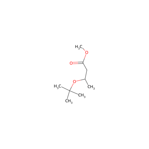 COC(=O)CC(C)OC(C)(C)C